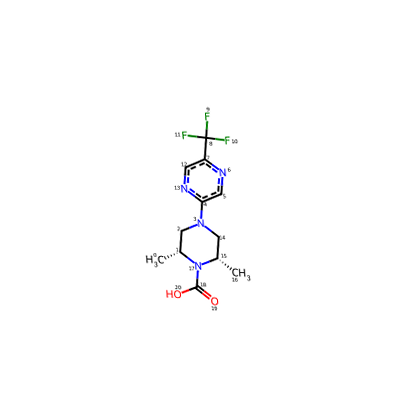 C[C@@H]1CN(c2cnc(C(F)(F)F)cn2)C[C@H](C)N1C(=O)O